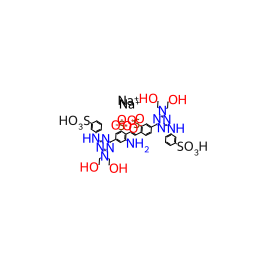 Nc1cc(-c2nc(Nc3cccc(S(=O)(=O)O)c3)nc(N(CCO)CCO)n2)cc(S(=O)(=O)[O-])c1C=Cc1ccc(-c2nc(Nc3cccc(S(=O)(=O)O)c3)nc(N(CCO)CCO)n2)cc1S(=O)(=O)[O-].[Na+].[Na+]